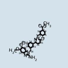 COC(=O)c1cccc(Cn2nc(-c3cccc(Cn4c(N)nc5cc(OC)c(OC)cc54)c3)ccc2=O)c1